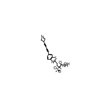 CN1CC(C#CC#Cc2ccc3nc(CC[C@](C)(C(=O)NO)S(C)(=O)=O)sc3c2)C1